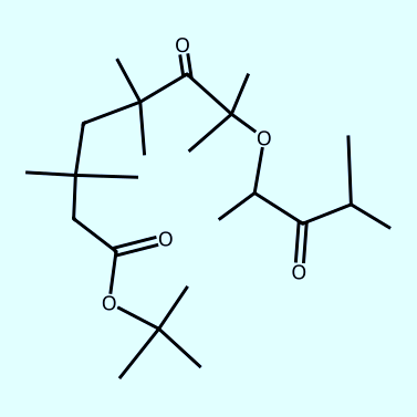 CC(C)C(=O)C(C)OC(C)(C)C(=O)C(C)(C)CC(C)(C)CC(=O)OC(C)(C)C